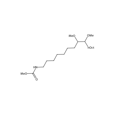 CCCCCCCCC(OC)C(CCCCCCCNC(=O)OC)OC